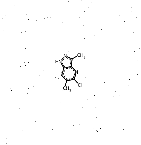 Cc1cc2[nH]nc(C)c2nc1Cl